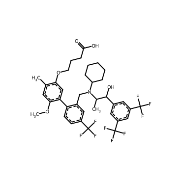 COc1cc(C)c(OCCCC(=O)O)cc1-c1ccc(C(F)(F)F)cc1CN(C1CCCCC1)C(C)C(O)c1cc(C(F)(F)F)cc(C(F)(F)F)c1